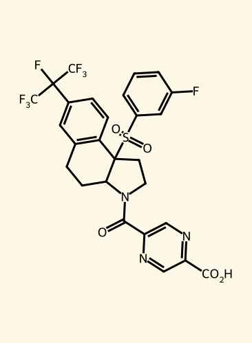 O=C(O)c1cnc(C(=O)N2CCC3(S(=O)(=O)c4cccc(F)c4)c4ccc(C(F)(C(F)(F)F)C(F)(F)F)cc4CCC23)cn1